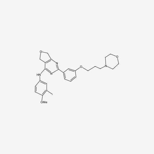 COc1ccc(Nc2nc(-c3cccc(OCCCN4CCOCC4)c3)nc3c2COC3)cc1C